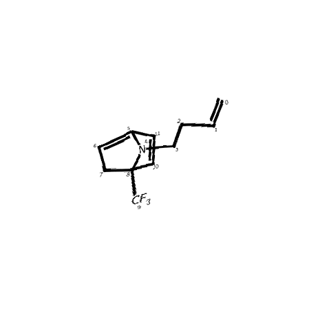 C=CCCN1C2=CCC1(C(F)(F)F)C=C2